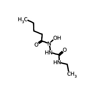 CCCCC(=O)N(O)NC(=O)NCC